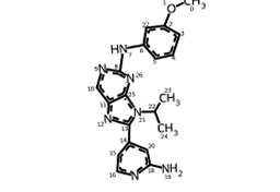 COc1cccc(Nc2ncc3nc(-c4ccnc(N)c4)n(C(C)C)c3n2)c1